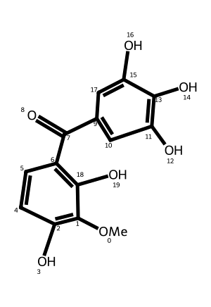 COc1c(O)ccc(C(=O)c2cc(O)c(O)c(O)c2)c1O